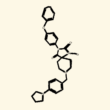 CCN1C(=O)N(c2ccc(Oc3ccccc3)cc2)C(=O)C12CCN(Cc1ccc(N3CCCC3)cc1)CC2